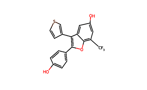 Oc1ccc(-c2oc3c(C(F)(F)F)cc(O)cc3c2-c2ccsc2)cc1